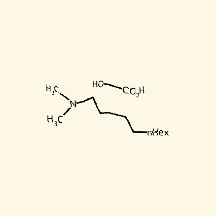 CCCCCCCCCCN(C)C.O=C(O)O